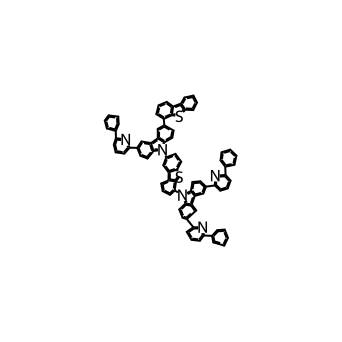 c1ccc(-c2cccc(-c3ccc4c(c3)c3cc(-c5cccc6c5sc5ccccc56)ccc3n4-c3ccc4sc5c(-n6c7ccc(-c8cccc(-c9ccccc9)n8)cc7c7cc(-c8cccc(-c9ccccc9)n8)ccc76)cccc5c4c3)n2)cc1